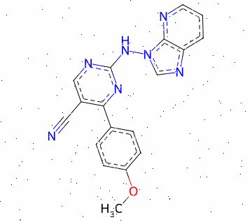 COc1ccc(-c2nc(Nn3cnc4cccnc43)ncc2C#N)cc1